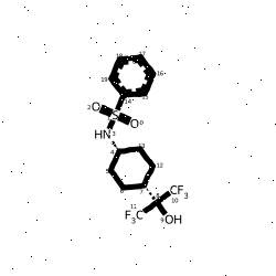 O=S(=O)(N[C@H]1CC[C@@H](C(O)(C(F)(F)F)C(F)(F)F)CC1)c1ccccc1